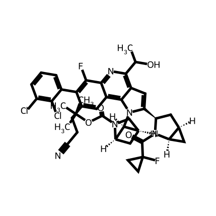 CC(O)c1nc2c(F)c(-c3cccc(Cl)c3Cl)c(CCC#N)cc2c2c1cc([C@H]1C[C@H]3C[C@H]3N1C(=O)C1(F)CC1)n2[C@H]1[C@@H]2C[C@H]1N(C(=O)OC(C)(C)C)C2